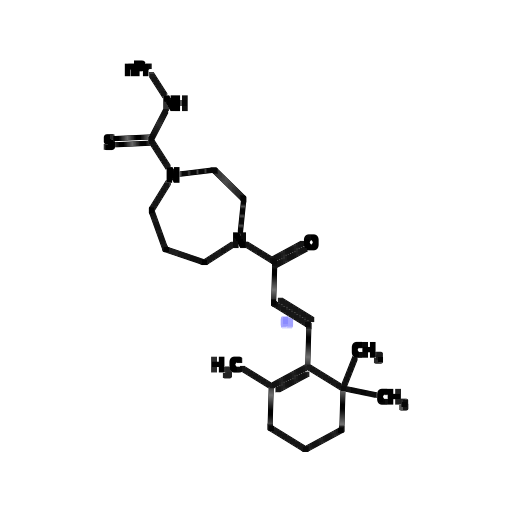 CCCNC(=S)N1CCCN(C(=O)/C=C/C2=C(C)CCCC2(C)C)CC1